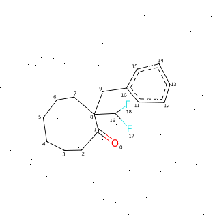 O=C1CCCCCCC1(Cc1ccccc1)C(F)F